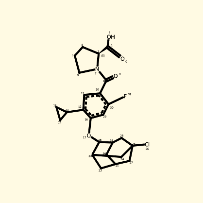 O=C(O)[C@@H]1CCCN1C(=O)c1cc(C2CC2)c(OC2C3CC4CC2CC(Cl)(C4)C3)cc1F